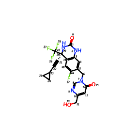 O=C1Nc2cc(Cn3cnc(CO)cc3=O)c(F)cc2[C@@](C#CC2CC2)(C(F)(F)F)N1